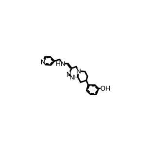 N=N/C(=C\NCc1ccncc1)CN1CCC(c2cccc(O)c2)CC1